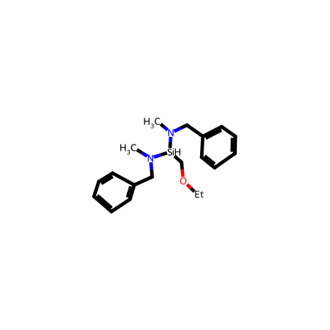 CCOC[SiH](N(C)Cc1ccccc1)N(C)Cc1ccccc1